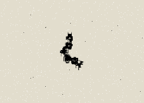 Cc1nc(-c2cc(-c3ccc(OC(F)(F)F)cc3)on2)nn1Cc1cccc(N2CCN(C)CC2)c1